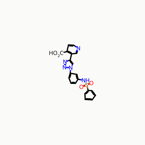 O=C(O)c1ccncc1-c1cn(-c2cccc(NS(=O)(=O)c3ccccc3)c2)nn1